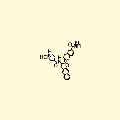 CCNC(=O)c1ccc2c(c1)CCN(C(=O)C(Cc1ccc3ccccc3c1)NC(=O)C1CCNCC1)C2.Cl